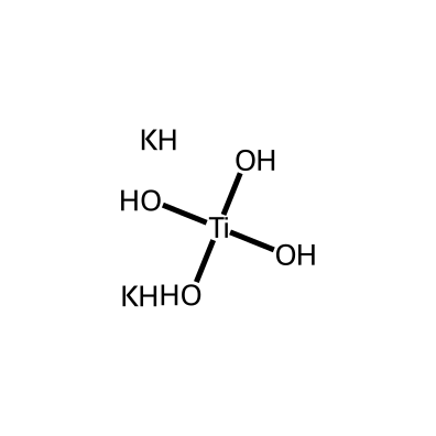 [KH].[KH].[OH][Ti]([OH])([OH])[OH]